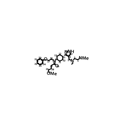 CNCCN(C)Cc1c[nH]nc1[C@H]1CC[C@H](N(CCOc2ccccc2)C(=O)CCCOC)CC1